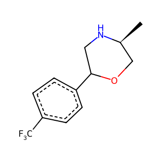 C[C@H]1COC(c2ccc(C(F)(F)F)cc2)CN1